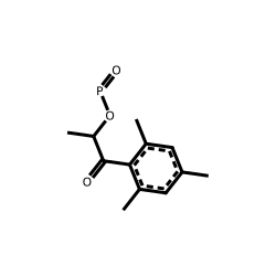 Cc1cc(C)c(C(=O)C(C)OP=O)c(C)c1